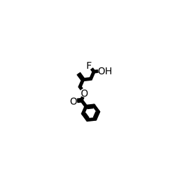 C=C(COC(=O)c1ccccc1)CC(O)F